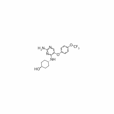 Nc1ncc(Oc2ccc(OC(F)(F)F)cc2)c(N[C@H]2CC[C@H](O)CC2)n1